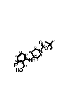 CC(C)(C)OC(=O)N1CCC(Nc2cccc(F)c2CO)CC1